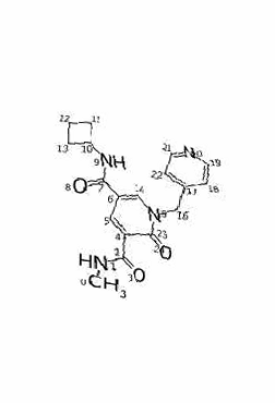 CNC(=O)c1cc(C(=O)NC2CCC2)cn(Cc2ccncc2)c1=O